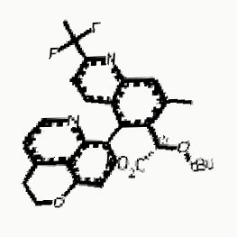 Cc1cc2nc(C(C)(F)F)ccc2c(-c2ccc3c4c(ccnc24)CCO3)c1[C@H](OC(C)(C)C)C(=O)O